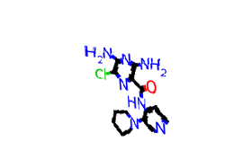 Nc1nc(N)c(C(=O)Nc2ccncc2N2CCCCC2)nc1Cl